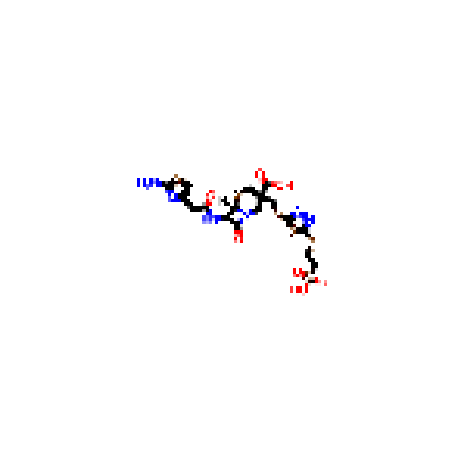 Nc1nc(CC(=O)NC2C(=O)N3CC(CSc4nnc(SCCS(=O)(=O)O)s4)(C(=O)O)CS[C@H]23)cs1